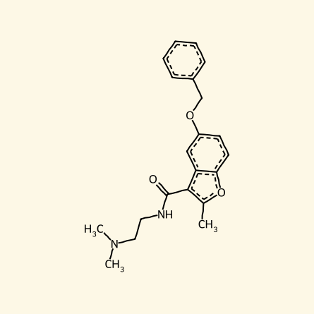 Cc1oc2ccc(OCc3ccccc3)cc2c1C(=O)NCCN(C)C